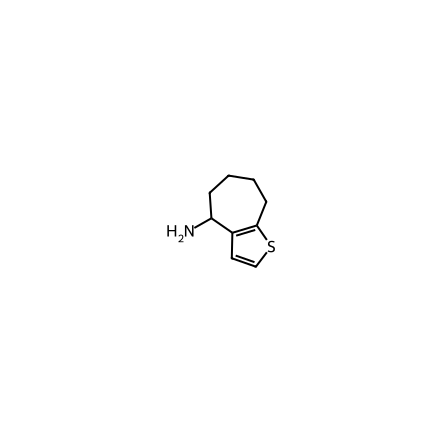 NC1CCCCc2sccc21